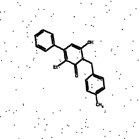 CCc1c(-c2ccccc2)cc(O)n(Cc2ccc(C)cc2)c1=O